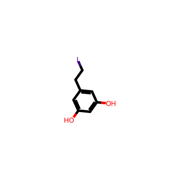 Oc1cc(O)cc(CCI)c1